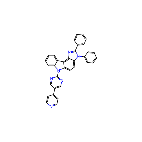 c1ccc(-c2nc3c4c5ccccc5n(-c5ncc(-c6ccncc6)cn5)c4ccc3n2-c2ccccc2)cc1